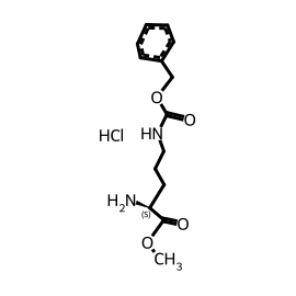 COC(=O)[C@@H](N)CCCNC(=O)OCc1ccccc1.Cl